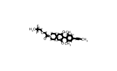 CC#Cc1cc(C)c(C2C(=O)CC3(CCN(C(=O)COCC(C)(F)F)CC3)CC2=O)c(C)c1